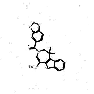 CCOC(=O)C1=CN(C(=O)c2ccc3c(c2)OCO3)CC(C)(C)c2c1[nH]c1ccccc21